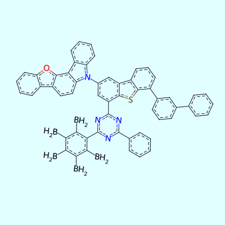 Bc1c(B)c(B)c(-c2nc(-c3ccccc3)nc(-c3cc(-n4c5ccccc5c5c6oc7ccccc7c6ccc54)cc4c3sc3c(-c5cccc(-c6ccccc6)c5)cccc34)n2)c(B)c1B